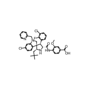 COc1cc(C(=O)O)ccc1NC(=O)[C@@H]1N[C@@H](CC(C)(C)C)[C@@]2(CN(Cc3ccccn3)c3cc(Cl)ccc32)[C@H]1c1cccc(Cl)c1F